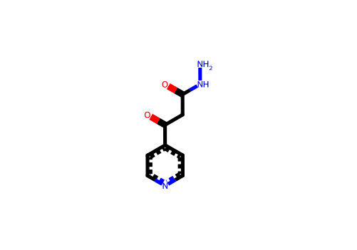 NNC(=O)CC(=O)c1ccncc1